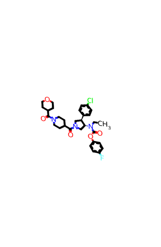 CCN(C(=O)Oc1ccc(F)cc1)[C@@H]1CN(C(=O)C2CCN(C(=O)C3CCOCC3)CC2)C[C@H]1c1ccc(Cl)cc1